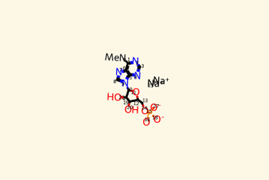 CNc1ncnc2c1ncn2C1OC(COP(=O)([O-])[O-])C(O)C1O.[Na+].[Na+]